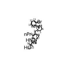 CCCC1=C(CC2CC=NN2c2ncccc2Br)N=CN2N=C(C(C)(C)O)NC12